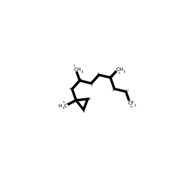 CC(CCC(C)CC1(C)CC1)CCC(F)(F)F